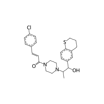 CC(C(O)c1ccc2c(c1)CCCS2)N1CCN(C(=O)C=Cc2ccc(Cl)cc2)CC1